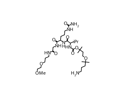 COCCOCCCNC(=O)CNC(=O)C(CCCNC(N)=O)NC(=O)C(NC(=O)OC(C)(C)CCOC(C)(C)CCCN)C(C)C